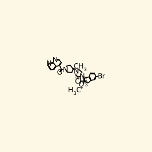 CCO[C@@H]1Cc2cc(Br)ccc2[C@H]1N1CCN(C2(C)CCN(C(=O)c3ccnc4ncccc34)CC2)C[C@@H]1C